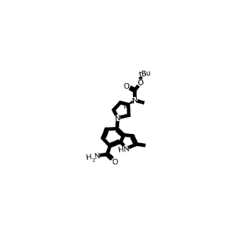 Cc1cc2c(N3CC[C@@H](N(C)C(=O)OC(C)(C)C)C3)ccc(C(N)=O)c2[nH]1